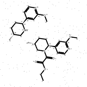 CCOC(=O)C(=O)N1C[C@H](C)CC[C@H]1c1ccnc(OC)c1.COc1cc([C@@H]2CC[C@@H](C)CN2)ccn1